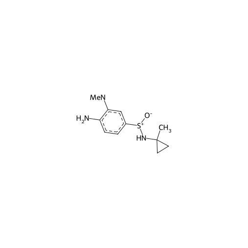 CNc1cc([S+]([O-])NC2(C)CC2)ccc1N